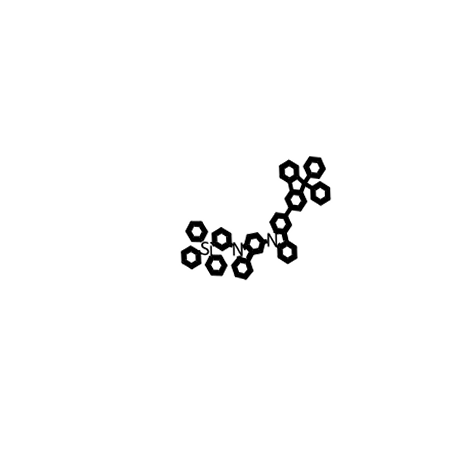 c1ccc(C2(c3ccccc3)c3ccccc3-c3cc(-c4ccc5c(c4)c4ccccc4n5-c4ccc5c(c4)c4ccccc4n5-c4cccc([Si](c5ccccc5)(c5ccccc5)c5ccccc5)c4)ccc32)cc1